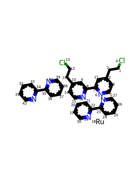 ClCCc1ccnc(-c2cc(CCCl)ccn2)c1.[Ru].c1ccc(-c2ccccn2)nc1.c1ccc(-c2ccccn2)nc1